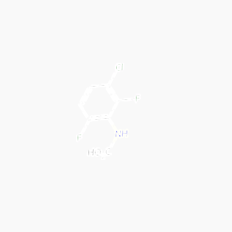 O=C(O)Nc1c(F)ccc(Cl)c1F